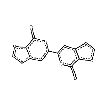 O=c1oc(-c2cc3ccoc3c(=O)o2)cc2ccoc12